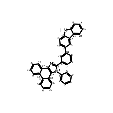 c1ccc(-n2c(-c3cccc(-c4ccc5[nH]c6ccccc6c5c4)c3)nc3c4ccccc4c4ccccc4c32)cc1